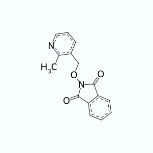 Cc1ncccc1CON1C(=O)c2ccccc2C1=O